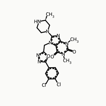 C[C@H]1CN(c2nc3c(c(=O)n(C)c(=O)n3C)n2Cc2nnc(-c3ccc(Cl)c(Cl)c3)o2)CCN1